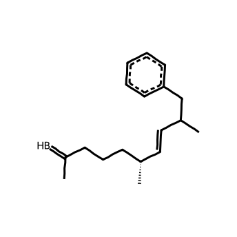 B=C(C)CCC[C@@H](C)/C=C/C(C)Cc1ccccc1